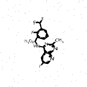 Cc1nc(N[C@H](C)c2cccc(C(F)F)c2F)c2cc(F)cnc2n1